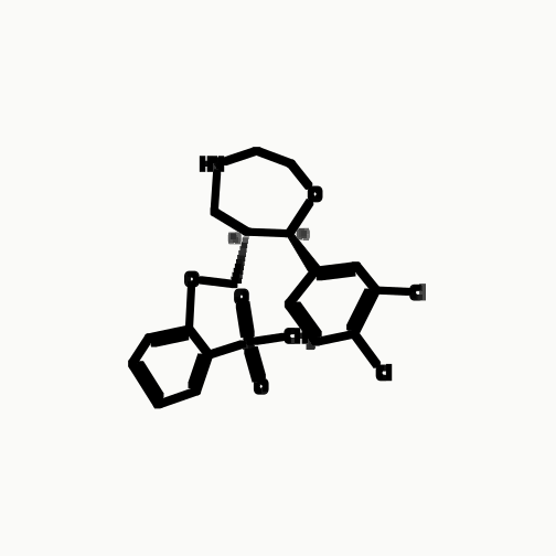 CS(=O)(=O)c1ccccc1OC[C@@H]1CNCCO[C@H]1c1ccc(Cl)c(Cl)c1